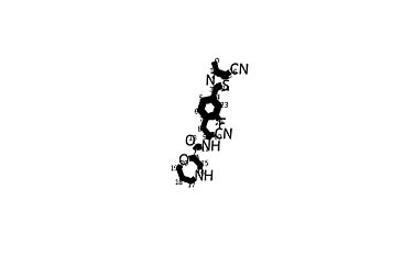 Cc1nc(-c2ccc(CC(C#N)NC(=O)[C@@H]3CNCCCO3)c(F)c2)sc1C#N